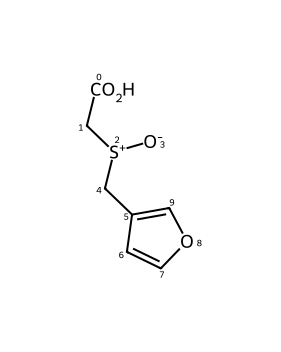 O=C(O)C[S+]([O-])Cc1ccoc1